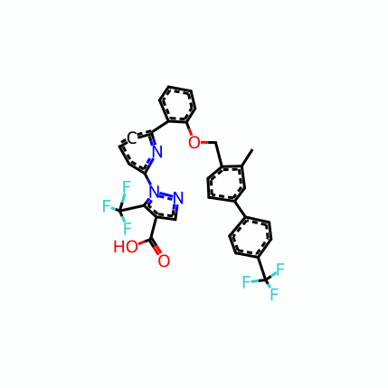 Cc1cc(-c2ccc(C(F)(F)F)cc2)ccc1COc1ccccc1-c1cccc(-n2ncc(C(=O)O)c2C(F)(F)F)n1